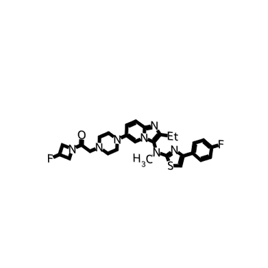 CCc1nc2ccc(N3CCN(CC(=O)N4CC(F)C4)CC3)cn2c1N(C)c1nc(-c2ccc(F)cc2)cs1